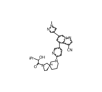 CC(C)C(O)C(=O)N1CC[C@@]2(CCCN(c3ccc(-c4cc(-c5cnn(C)c5)cn5ncc(C#N)c45)cn3)C2)C1